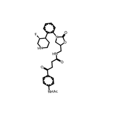 CC(=O)Nc1ccc(C(=O)CCC(=O)NCC2CN(c3ccccc3C3CCNC[C@H]3F)C(=O)O2)cc1